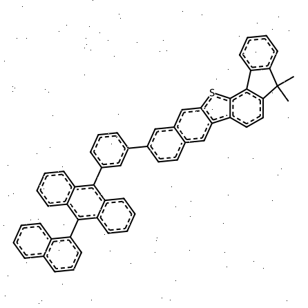 CC1(C)c2ccccc2-c2c1ccc1c2sc2cc3cc(-c4cccc(-c5c6ccccc6c(-c6cccc7ccccc67)c6ccccc56)c4)ccc3cc21